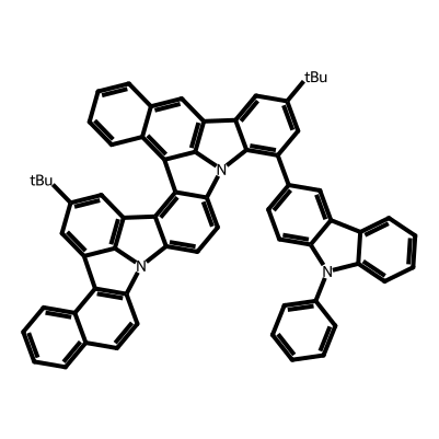 CC(C)(C)c1cc(-c2ccc3c(c2)c2ccccc2n3-c2ccccc2)c2c(c1)c1cc3ccccc3c3c4c5c6cc(C(C)(C)C)cc7c8c9ccccc9ccc8n(c5ccc4n2c13)c76